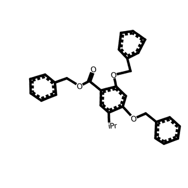 CC(C)c1cc(C(=O)OCc2ccccc2)c(OCc2ccccc2)cc1OCc1ccccc1